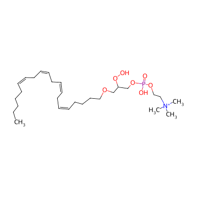 CCCCC/C=C\C/C=C\C/C=C\C/C=C\CCCCOCC(COP(=O)(O)OCC[N+](C)(C)C)OO